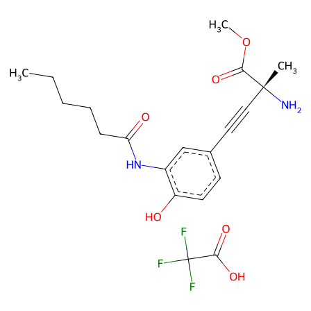 CCCCCC(=O)Nc1cc(C#C[C@@](C)(N)C(=O)OC)ccc1O.O=C(O)C(F)(F)F